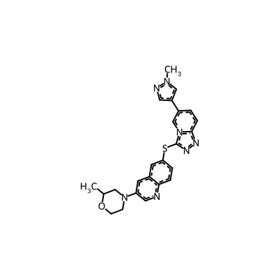 CC1CN(c2cnc3ccc(Sc4nnc5ccc(-c6cnn(C)c6)cn45)cc3c2)CCO1